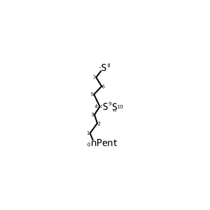 CCCCCCCCCCCC[S].[S].[S]